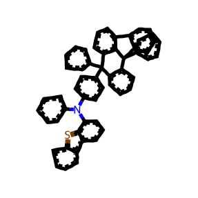 c1ccc(N(c2ccc(C3(c4ccccc4)c4ccccc4C4(c5ccccc5)c5ccccc5-c5cccc3c54)cc2)c2cccc3c2sc2ccccc23)cc1